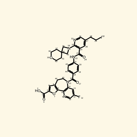 O=C(O)c1cc2c(o1)-c1ncc(F)cc1N(C(=O)c1ccc(NC(=O)c3cc(CCI)cnc3N3CC4(CCOCC4)C3)cc1)CC2